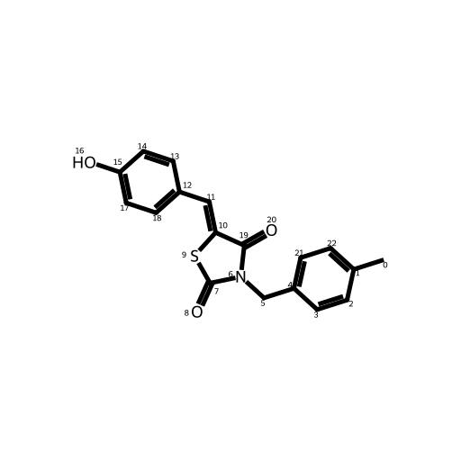 Cc1ccc(CN2C(=O)S/C(=C\c3ccc(O)cc3)C2=O)cc1